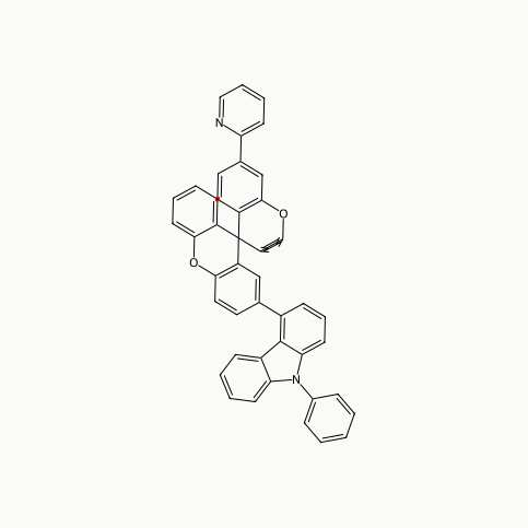 c1ccc(-n2c3ccccc3c3c(-c4ccc5c(c4)C4(c6ccccc6Oc6cc(-c7ccccn7)ccc64)c4ccccc4O5)cccc32)cc1